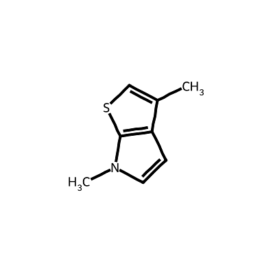 Cc1csc2c1ccn2C